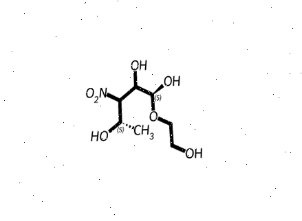 C[C@H](O)C(C(O)[C@@H](O)OCCO)[N+](=O)[O-]